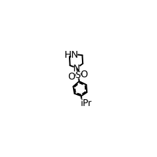 CC(C)c1ccc(S(=O)(=O)N2CCNCC2)cc1